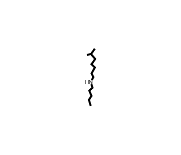 CCCCCNCCCCCC(C)C